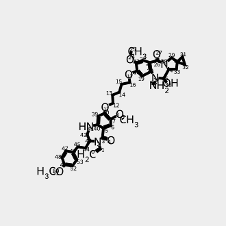 C=CN1C(=O)c2cc(OC)c(OCCCCCOc3cc4c(cc3OC)C(=O)N3CC5(CC5)CC3C(O)N4N)cc2NCC1CCc1ccc(OC)cc1